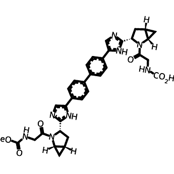 COC(=O)NCC(=O)N1[C@H](c2ncc(-c3ccc(-c4ccc(-c5cnc([C@@H]6C[C@@H]7C[C@@H]7N6C(=O)CNC(=O)O)[nH]5)cc4)cc3)[nH]2)C[C@@H]2C[C@@H]21